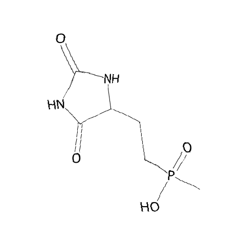 CP(=O)(O)CCC1NC(=O)NC1=O